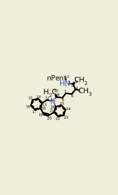 C=C(NCCCCC)C(C)CCCC(=C)N1Cc2ccccc2C#Cc2ccccc21